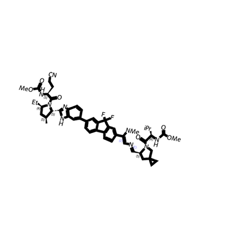 CC[C@@H]1C[C@H](C)[C@@H](c2nc3ccc(-c4ccc5c(c4)C(F)(F)c4cc(/C(=C/N=C/[C@@H]6CC7(CC7)CN6C(=O)[C@H](NC(=O)OC)C(C)C)NC)ccc4-5)cc3[nH]2)N1C(=O)[C@H](CCC#N)NC(=O)OC